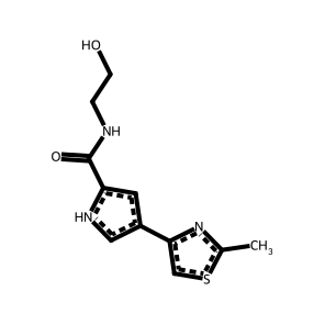 Cc1nc(-c2c[nH]c(C(=O)NCCO)c2)cs1